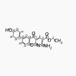 CCOC(=O)c1cc2c(=O)c3cc(C4=CCC(O)CC4)ccc3oc2nc1N